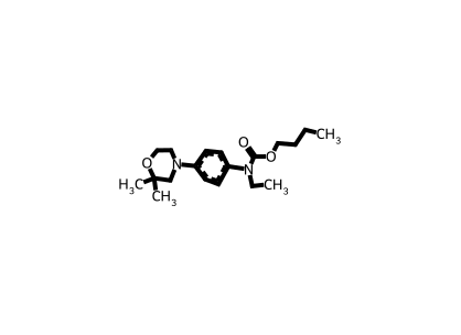 CCCCOC(=O)N(CC)c1ccc(N2CCOC(C)(C)C2)cc1